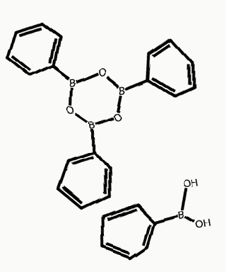 OB(O)c1ccccc1.c1ccc(B2OB(c3ccccc3)OB(c3ccccc3)O2)cc1